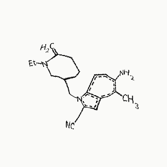 C=C1CCC(Cn2c(C#N)cc3c(C)c(N)ccc32)CN1CC